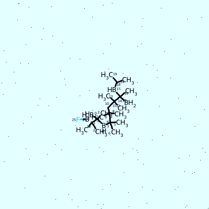 BC(C)(BC(C)(C)C(C)(C)CC(C)(C)C(B)(C)BC(C)C)C(C)(C)BF